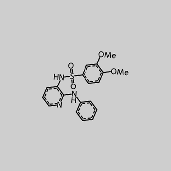 COc1ccc(S(=O)(=O)Nc2cccnc2Nc2ccccc2)cc1OC